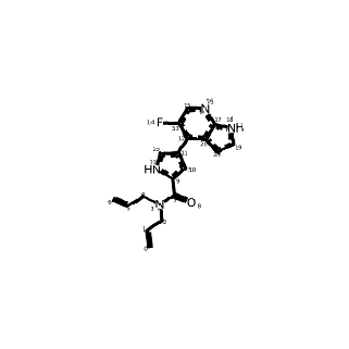 C=CCN(CC=C)C(=O)c1cc(-c2c(F)cnc3[nH]ccc23)c[nH]1